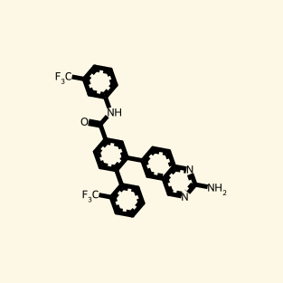 Nc1ncc2cc(-c3cc(C(=O)Nc4cccc(C(F)(F)F)c4)ccc3-c3ccccc3C(F)(F)F)ccc2n1